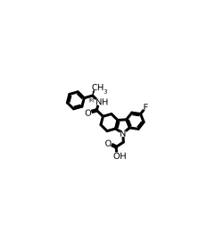 C[C@@H](NC(=O)C1CCc2c(c3cc(F)ccc3n2CC(=O)O)C1)c1ccccc1